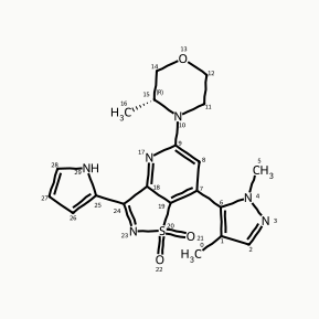 Cc1cnn(C)c1-c1cc(N2CCOC[C@H]2C)nc2c1S(=O)(=O)N=C2c1ccc[nH]1